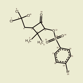 CC1(C)C(CC(Cl)(Cl)Cl)C(=O)C1OS(=O)(=O)c1ccc(Br)cc1